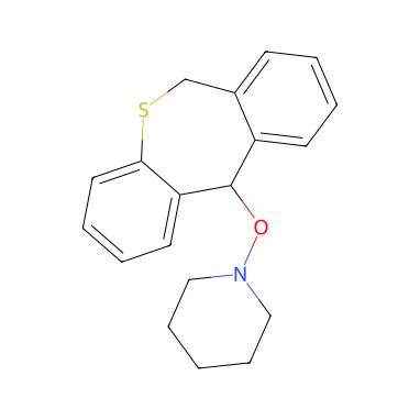 c1ccc2c(c1)CSc1ccccc1C2ON1CCCCC1